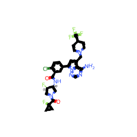 Nc1ncnn2c(-c3ccc(Cl)c(C(=O)N[C@@H]4CN(C(=O)C5(F)CC5)C[C@@H]4F)c3)cc(CN3CCC(C(F)(F)F)CC3)c12